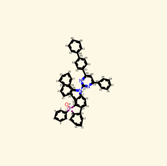 O=P1(c2ccccc2)c2ccccc2-c2ccc3c(c21)c1ccc2ccccc2c1n3-c1nc(-c2ccccc2)cc(-c2ccc(-c3ccccc3)cc2)n1